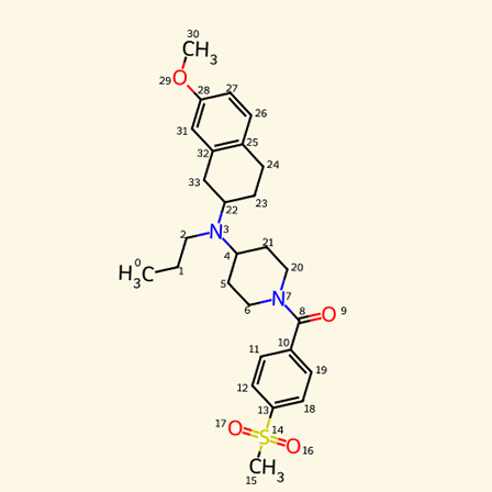 CCCN(C1CCN(C(=O)c2ccc(S(C)(=O)=O)cc2)CC1)C1CCc2ccc(OC)cc2C1